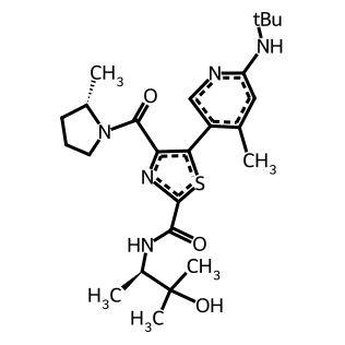 Cc1cc(NC(C)(C)C)ncc1-c1sc(C(=O)N[C@H](C)C(C)(C)O)nc1C(=O)N1CCC[C@@H]1C